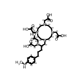 CNc1ccc(CCCC(CN2CCN(CC(=O)O)CCN(CC(=O)O)CCN(CC(=O)O)CC2)N(CC(=O)O)CC(=O)O)cc1